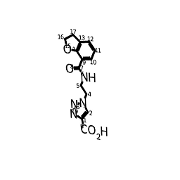 O=C(O)c1cn(CCNC(=O)c2cccc3c2OCC3)nn1